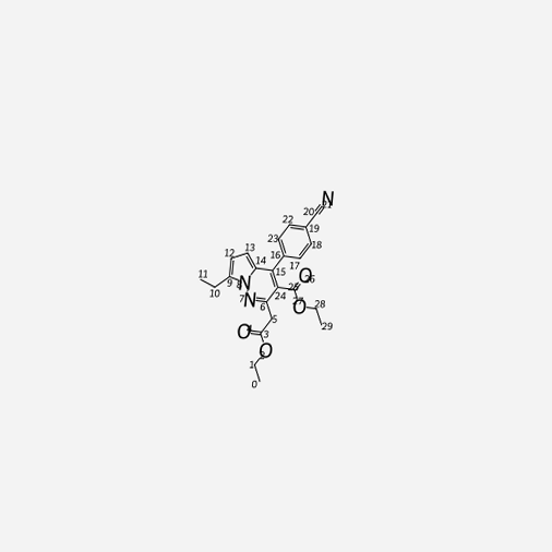 CCOC(=O)Cc1nn2c(CC)ccc2c(-c2ccc(C#N)cc2)c1C(=O)OCC